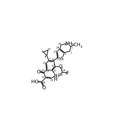 CC1Cc2sc(-c3c(C4CC4)cc4c(=O)c(C(=O)O)c[nH]c4c3OC(F)F)cc2CN1